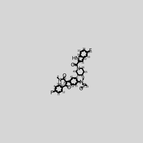 CNC(=O)c1c(-c2ccc(F)cc2)oc2cc(N(C)[S+](C)[O-])c([C@H]3CCCN(C(=O)c4cc5cc(F)ccc5[nH]4)C3)cc12